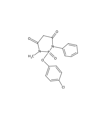 CN1C(=O)CC(=O)N(c2ccccc2)P1(=O)Oc1ccc(Cl)cc1